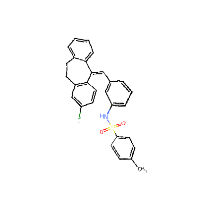 Cc1ccc(S(=O)(=O)Nc2cccc(C=C3c4ccccc4CCc4cc(Cl)ccc43)c2)cc1